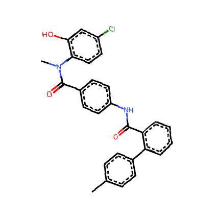 Cc1ccc(-c2ccccc2C(=O)Nc2ccc(C(=O)N(C)c3ccc(Cl)cc3O)cc2)cc1